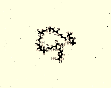 CC(C)(C)N[C@@H](CCCCNC(=O)CCC(C)(C)OCCC(C)(C)OCCNC(=O)C(C)(C)CC(C)(C)NC(=O)CC[C@H](NC(=O)C(C)(C)CC(C)(C)C(=O)O)C(=O)O)C(=O)C(C)(C)C